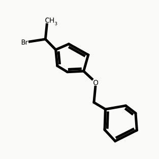 CC(Br)c1ccc(OCc2ccccc2)cc1